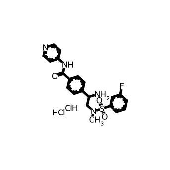 CN(CC(N)c1ccc(C(=O)Nc2ccncc2)cc1)S(=O)(=O)c1cccc(F)c1.Cl.Cl